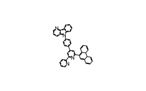 C1=CC2=CC(c3cc(-c4ccc(-n5c6ccccc6c6ncccc65)cc4)cc(-c4ccccn4)n3)=C3C=CC=CC3C2C=C1